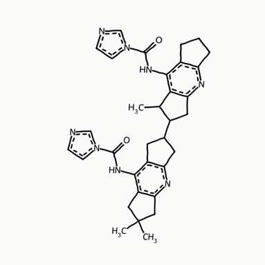 CC1c2c(nc3c(c2NC(=O)n2ccnc2)CCC3)CC1C1Cc2nc3c(c(NC(=O)n4ccnc4)c2C1)CC(C)(C)C3